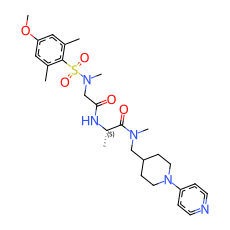 COc1cc(C)c(S(=O)(=O)N(C)CC(=O)N[C@@H](C)C(=O)N(C)CC2CCN(c3ccncc3)CC2)c(C)c1